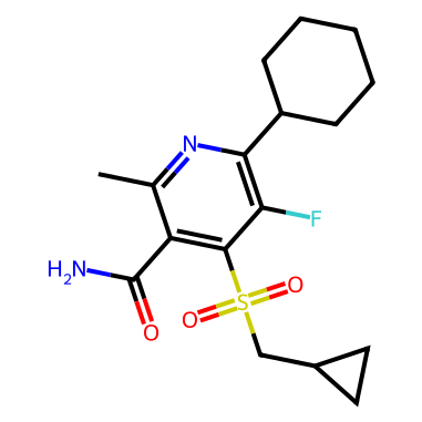 Cc1nc(C2CCCCC2)c(F)c(S(=O)(=O)CC2CC2)c1C(N)=O